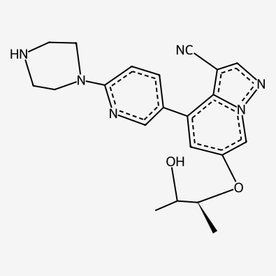 CC(O)[C@H](C)Oc1cc(-c2ccc(N3CCNCC3)nc2)c2c(C#N)cnn2c1